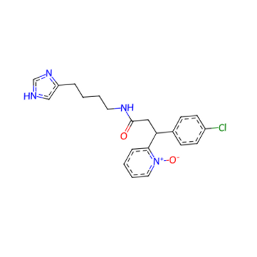 O=C(CC(c1ccc(Cl)cc1)c1cccc[n+]1[O-])NCCCCc1c[nH]cn1